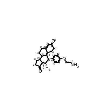 C[C@]12C[C@H](c3ccc(OCCN)cc3)C3=C4CCC(=O)C=C4CCC3C1CCC2=O